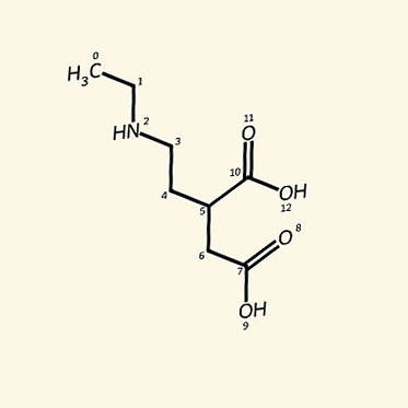 CCNCCC(CC(=O)O)C(=O)O